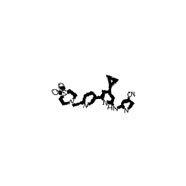 N#Cc1ccnc(Nc2cc(C3CC3)cc(-c3ccc(CN4CCS(=O)(=O)CC4)nc3)n2)c1